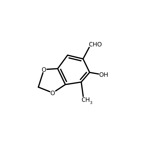 Cc1c(O)c(C=O)cc2c1OCO2